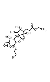 CCOC(=O)CCC1[C@@H](O)C(O)C2[C@@H](OC3C(O)[C@H](O)C(CO)O[C@@H]3OCCBr)OC21O